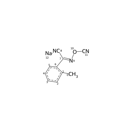 Cc1ccccc1C(C#N)=NOC#N.[Na]